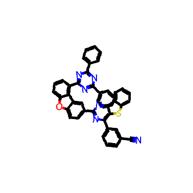 N#Cc1cccc(-c2nc(-c3ccc4oc5cccc(-c6nc(-c7ccccc7)nc(-c7ccccc7)n6)c5c4c3)nc3c2sc2ccccc23)c1